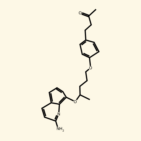 CC(=O)CCc1ccc(OCCCC(C)Oc2cccc3ccc(N)nc23)cc1